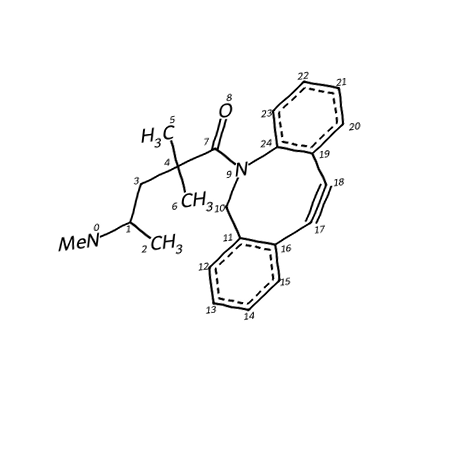 CNC(C)CC(C)(C)C(=O)N1Cc2ccccc2C#Cc2ccccc21